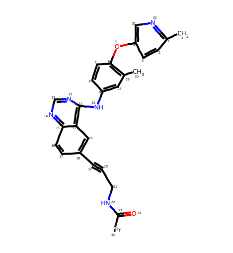 Cc1ccc(Oc2ccc(Nc3ncnc4ccc(C#CCNC(=O)C(C)C)cc34)cc2C)cn1